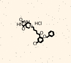 Cl.O=C1NC(=O)C2(CCN(CCCCC(=O)c3cc(Cl)ccc3OCc3ccccc3)CC2)N1